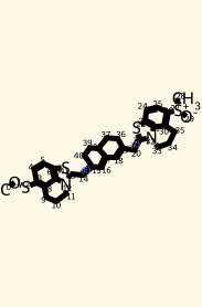 COSc1ccc2c3c1CCCN3C(/C=C1/C=C3C=C(/C=C4\Sc5ccc([S+](C)[O-])c6c5N4CCC6)CCC3CC1)S2